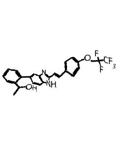 CC(O)c1ccccc1-c1ccc2[nH]c(/C=C/c3ccc(OCC(F)(F)C(F)(F)F)cc3)nc2c1